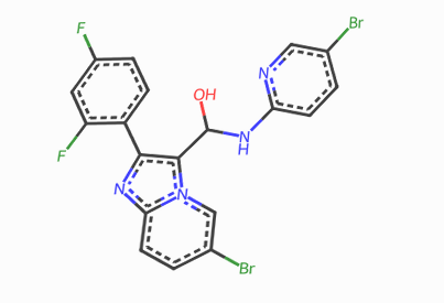 OC(Nc1ccc(Br)cn1)c1c(-c2ccc(F)cc2F)nc2ccc(Br)cn12